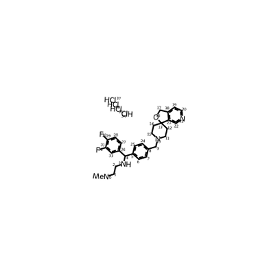 CNCCNC(c1ccc(CN2CCC3(CC2)OCc2ccncc23)cc1)c1ccc(F)c(F)c1.Cl.Cl.Cl.Cl